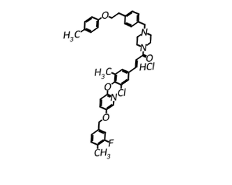 Cc1ccc(OCCc2ccc(CN3CCN(C(=O)/C=C/c4cc(C)c(Oc5ccc(OCc6ccc(C)c(F)c6)cn5)c(Cl)c4)CC3)cc2)cc1.Cl